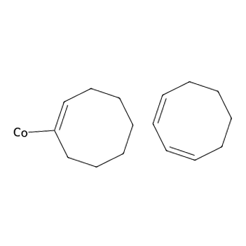 C1=C\CCCC\C=C/1.[Co]/[C]1=C/CCCCCC1